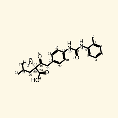 Cc1ccccc1NC(=O)Nc1ccc(CC(=O)[C@](N)(CC(C)C)C(=O)O)cc1